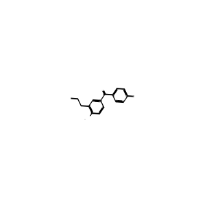 CCCc1cc(C(=O)c2ccc(F)cc2)ccc1O